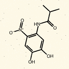 CC(C)C(=O)Nc1cc(O)c(O)cc1[N+](=O)[O-]